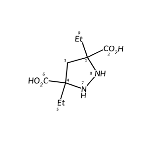 CCC1(C(=O)O)CC(CC)(C(=O)O)NN1